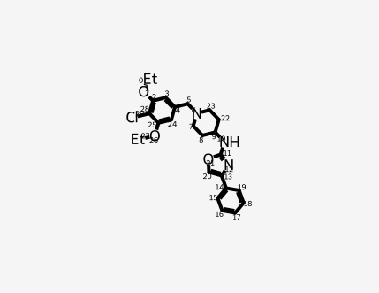 CCOc1cc(CN2CCC(Nc3nc(-c4ccccc4)co3)CC2)cc(OCC)c1Cl